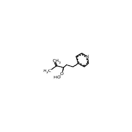 C=C(C)C(CCc1ccncc1)OO